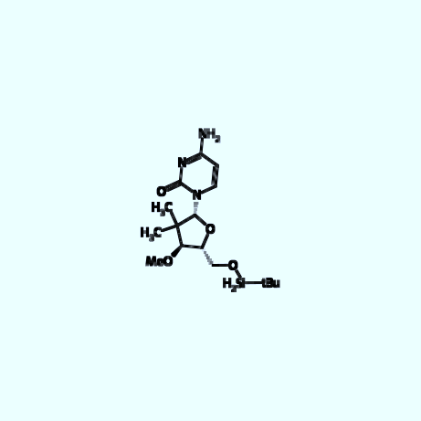 CO[C@@H]1[C@@H](CO[SiH2]C(C)(C)C)O[C@@H](n2ccc(N)nc2=O)C1(C)C